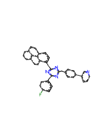 Fc1ccc(-c2nc(-c3ccc(-c4cccnc4)cc3)nc(-c3ccc4ccc5cccc6ccc3c4c56)n2)cc1